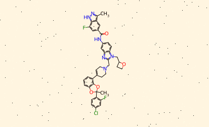 Cc1n[nH]c2c(F)cc(C(=O)Nc3ccc4c(c3)nc(CN3CC=C(c5cccc6c5OC(C)(c5ccc(Cl)cc5F)O6)CC3)n4CC3CCO3)cc12